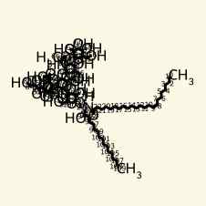 CCCCCCCC/C=C\CCCCCCCCCCCCCC(=O)N[C@@H](CO[C@@H]1OC(CO)[C@@H](O[C@@H]2OC(CO)[C@H](O[C@@H]3OC(CO)[C@H](O)[C@H](O[C@@H]4OC(CO)[C@H](O)[C@H](O)C4O)C3NC(C)=O)[C@H](O[C@]3(C(=O)O)CC(O)[C@@H](O)C([C@H](O)[C@H](O)CO)O3)C2O)[C@H](O)C1O)[C@H](O)/C=C/CCCCCCCCCCCCC